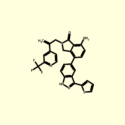 C=C(CN1Cc2c(-c3ccc4[nH]nc(-c5cccs5)c4c3)ccc(N)c2C1=O)c1ccnc(C(F)(F)F)c1